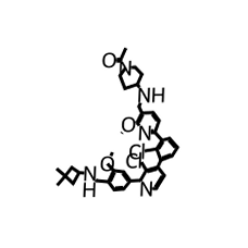 COc1cc(-c2nccc(-c3cccc(-c4ccc(CNC5CCN(C(C)=O)CC5)c(OC)n4)c3Cl)c2Cl)ccc1CNC1CC(C)(C)C1